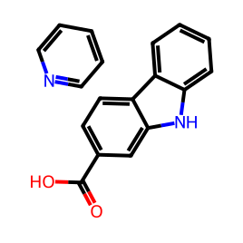 O=C(O)c1ccc2c(c1)[nH]c1ccccc12.c1ccncc1